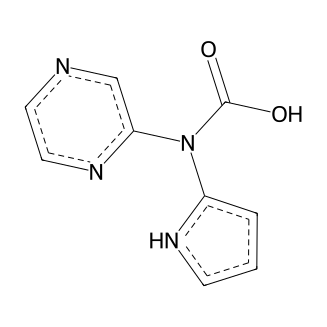 O=C(O)N(c1cnccn1)c1ccc[nH]1